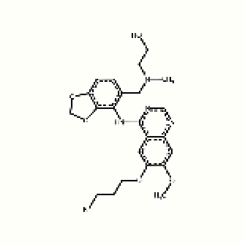 COc1cc2ncnc(Nc3c(CN(C)CCO)ccc4c3OCO4)c2cc1OCCCBr